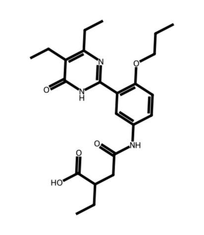 CCCOc1ccc(NC(=O)CC(CC)C(=O)O)cc1-c1nc(CC)c(CC)c(=O)[nH]1